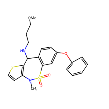 COCCCNC1c2ccc(Oc3ccccc3)cc2S(=O)(=O)N(C)c2ccsc21